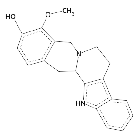 COc1c(O)ccc2c1CN1CCc3c([nH]c4ccccc34)C1C2